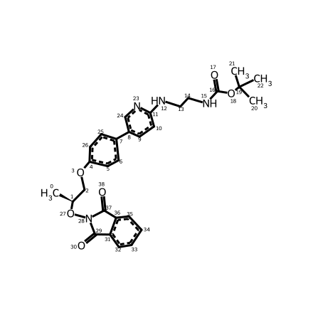 C[C@@H](COc1ccc(-c2ccc(NCCNC(=O)OC(C)(C)C)nc2)cc1)ON1C(=O)c2ccccc2C1=O